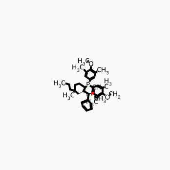 CCCC1(C)CCC(P(c2cc(C)c(OC)c(C)c2)c2cc(C)c(OC)c(C)c2)[C@H]([C@@H](c2ccccc2)N(C)C)C1